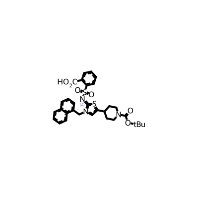 CC(C)(C)OC(=O)N1CCC(c2cn(Cc3cccc4ccccc34)/c(=N/S(=O)(=O)c3ccccc3C(=O)O)s2)CC1